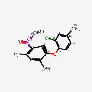 CCCc1cc([N+](=O)[O-])c([PH](=O)OC)cc1Oc1ccc(C(F)(F)F)cc1Cl